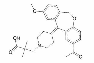 COc1ccc2c(c1)C(=C1CCN(CC(C)(C)C(=O)O)CC1)c1cc(C(C)=O)ccc1OC2